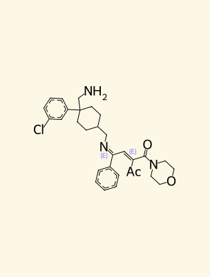 CC(=O)/C(=C\C(=N/CC1CCC(CN)(c2cccc(Cl)c2)CC1)c1ccccc1)C(=O)N1CCOCC1